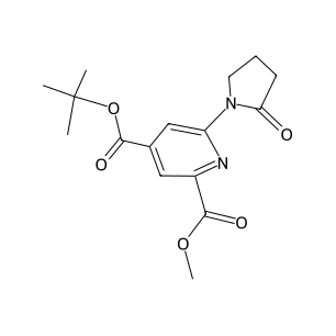 COC(=O)c1cc(C(=O)OC(C)(C)C)cc(N2CCCC2=O)n1